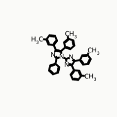 Cc1cccc(C2=NC(n3c(-c4ccccc4)nc(-c4cccc(C)c4)c3-c3cccc(C)c3)N=C2c2cccc(C)c2)c1